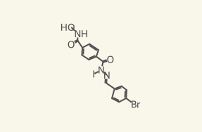 O=C(NO)c1ccc(C(=O)N(I)/N=C/c2ccc(Br)cc2)cc1